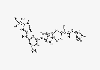 Cc1cc(Nc2nccc(C(F)(F)F)n2)cc(-c2cnc(C3(O)CCC(C(=O)NCc4ccno4)CC3)s2)c1